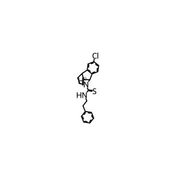 C[C@H]1C2CCN(C(=S)NCCc3ccccc3)C1c1ccc(Cl)cc12